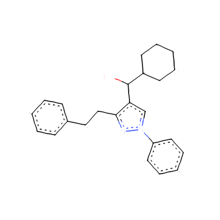 OC(c1cn(-c2ccccc2)nc1CCc1ccccc1)C1CCCCC1